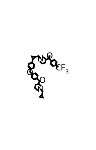 O=C(c1ccc(Oc2ccc(C3CC3CN3CCCC(C(=O)c4ccc(C(F)(F)F)cc4)C3)cc2)cc1)C1CCCN(CC2CC2)C1